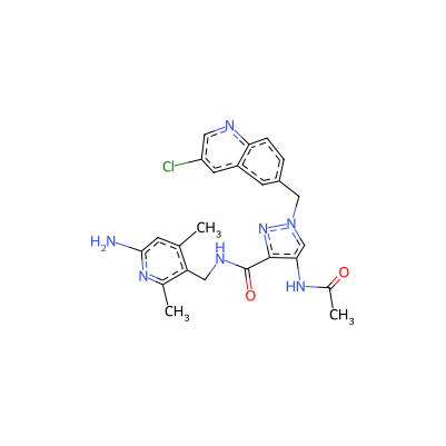 CC(=O)Nc1cn(Cc2ccc3ncc(Cl)cc3c2)nc1C(=O)NCc1c(C)cc(N)nc1C